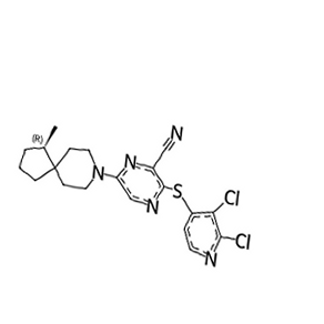 C[C@@H]1CCCC12CCN(c1cnc(Sc3ccnc(Cl)c3Cl)c(C#N)n1)CC2